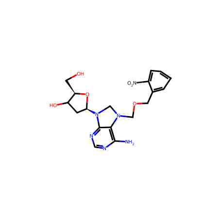 Nc1ncnc2c1N(COCc1ccccc1[N+](=O)[O-])CN2[C@H]1CC(O)[C@@H](CO)O1